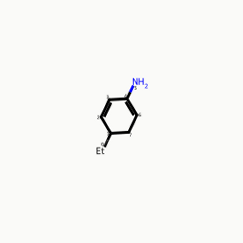 CCC1C=CC(N)=CC1